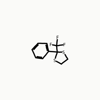 FC(F)(F)C1(c2ccccc2)SCCS1